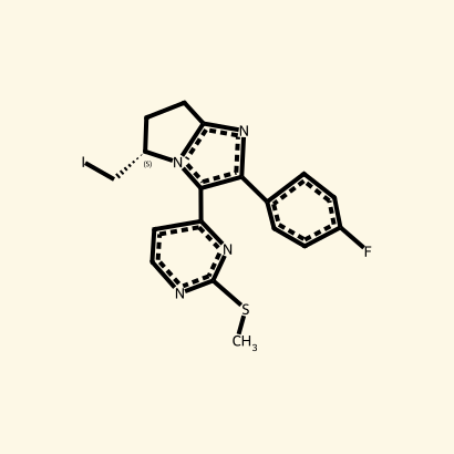 CSc1nccc(-c2c(-c3ccc(F)cc3)nc3n2[C@H](CI)CC3)n1